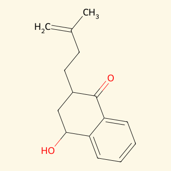 C=C(C)CCC1CC(O)c2ccccc2C1=O